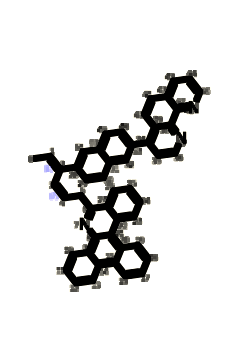 C/C=C(\C=C/Cc1nc2c3ccccc3c3ccccc3c2c2ccccc12)c1ccc2cc(-c3ccnc4c3ccc3cccnc34)ccc2c1